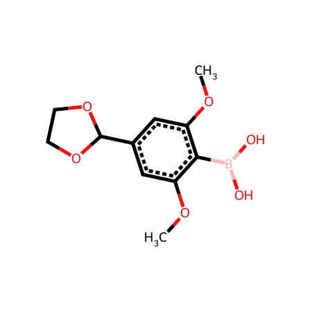 COc1cc(C2OCCO2)cc(OC)c1B(O)O